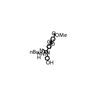 CCCCNc1ncc2c(-c3ccc(S(=O)(=O)N4CCC(C(=O)OC)CC4)cc3)nn([C@H]3CC[C@H](O)CC3)c2n1